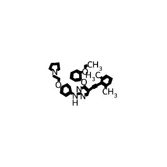 CCOc1ccccc1Oc1nc(Nc2ccc(OCCN3CCCC3)cc2)ncc1C#Cc1c(C)cccc1C